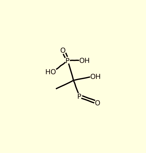 CC(O)(P=O)P(=O)(O)O